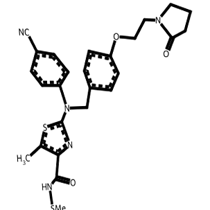 CSNC(=O)c1nc(N(Cc2ccc(OCCN3CCCC3=O)cc2)c2ccc(C#N)cc2)sc1C